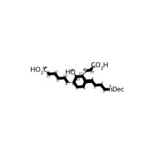 CCCCCCCCCCCCC/C=C1\CC[C@H](CCCCCC(=O)O)[C@@H](O)[C@@H]1SCC(=O)O